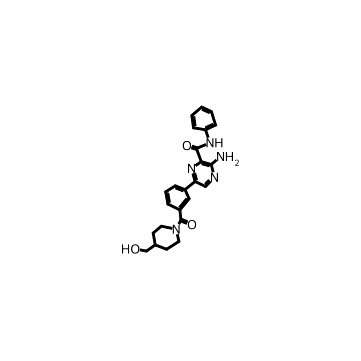 Nc1ncc(-c2cccc(C(=O)N3CCC(CO)CC3)c2)nc1C(=O)Nc1ccccc1